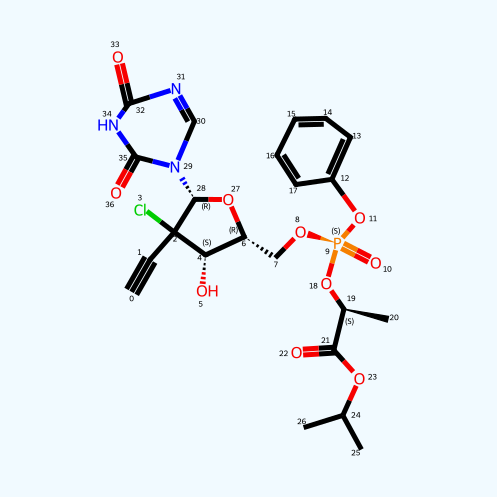 C#CC1(Cl)[C@@H](O)[C@@H](CO[P@](=O)(Oc2ccccc2)O[C@@H](C)C(=O)OC(C)C)O[C@H]1n1cnc(=O)[nH]c1=O